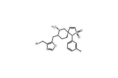 CC(C)Cc1ncoc1CN1CC[C@]2(C=CS(=O)(=O)N2c2cccc(F)c2)C[C@@H]1C